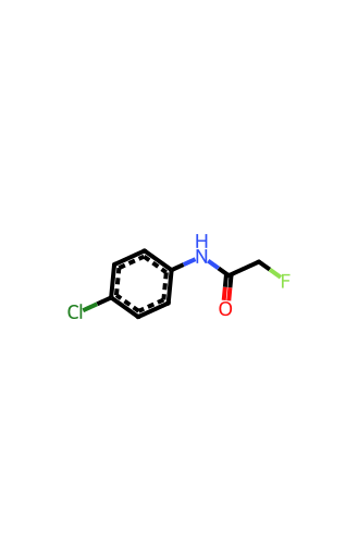 O=C(CF)Nc1ccc(Cl)cc1